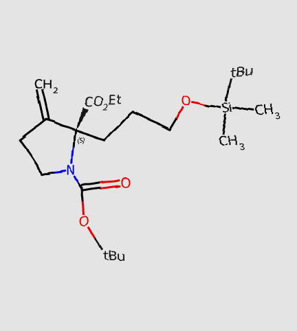 C=C1CCN(C(=O)OC(C)(C)C)[C@]1(CCCO[Si](C)(C)C(C)(C)C)C(=O)OCC